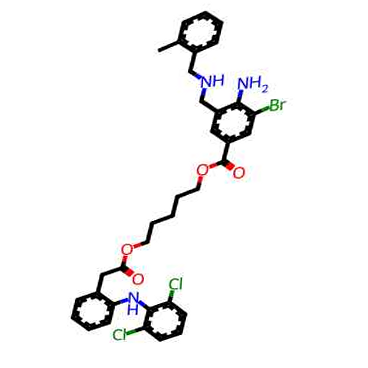 Cc1ccccc1CNCc1cc(C(=O)OCCCCCOC(=O)Cc2ccccc2Nc2c(Cl)cccc2Cl)cc(Br)c1N